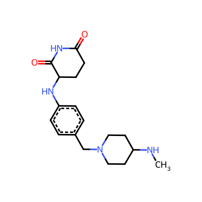 CNC1CCN(Cc2ccc(NC3CCC(=O)NC3=O)cc2)CC1